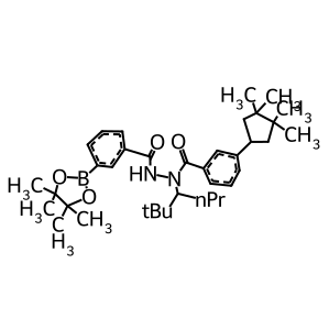 CCCC(N(NC(=O)c1cccc(B2OC(C)(C)C(C)(C)O2)c1)C(=O)c1cccc(C2CC(C)(C)C(C)(C)C2)c1)C(C)(C)C